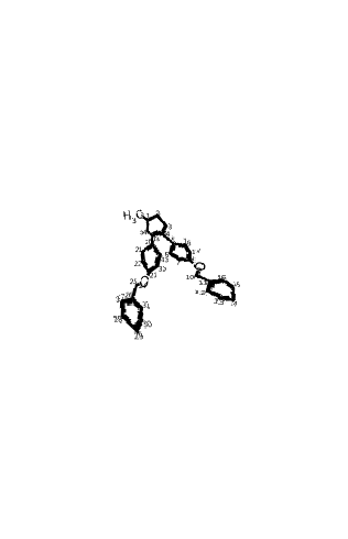 CC1CCC(c2ccc(OCc3ccccc3)cc2)=C(c2ccc(OCc3ccccc3)cc2)C1